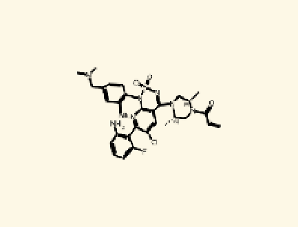 C=CC(=O)N1C[C@H](C)N(C2=NS(=O)(=O)N(c3ccc(CN(C)C)cc3CCCC)c3nc(-c4c(N)cccc4F)c(Cl)cc32)C[C@H]1C